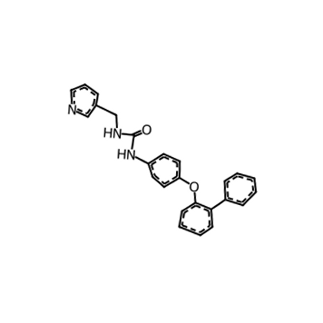 O=C(NCc1cccnc1)Nc1ccc(Oc2ccccc2-c2ccccc2)cc1